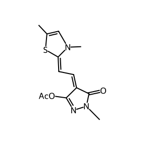 CC(=O)OC1=NN(C)C(=O)/C1=C/C=C1/SC(C)=CN1C